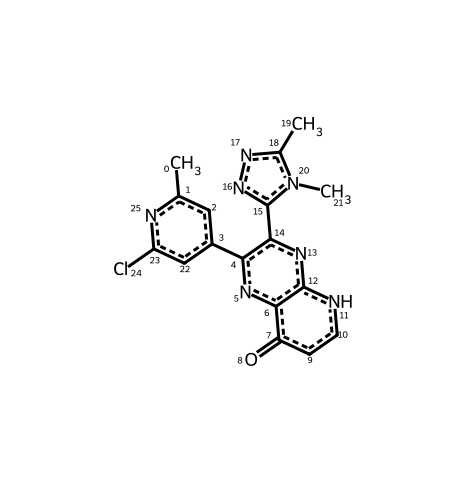 Cc1cc(-c2nc3c(=O)cc[nH]c3nc2-c2nnc(C)n2C)cc(Cl)n1